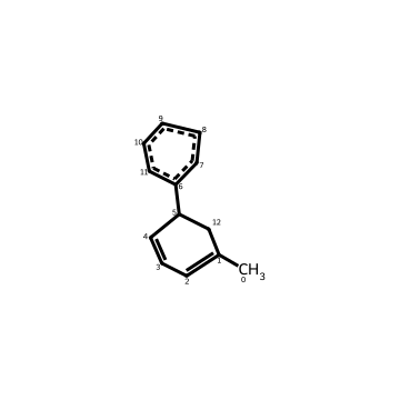 CC1=CC=CC(c2ccccc2)C1